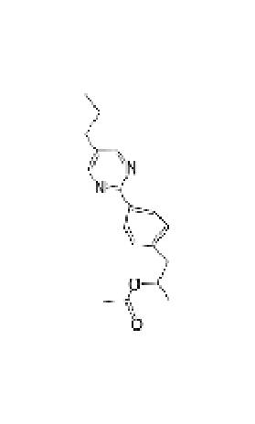 CCCc1cnc(-c2ccc(CC(C)OC(C)=O)cc2)nc1